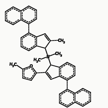 CC1=Cc2c(-c3cccc4ccccc34)cccc2C1[Si](C)(C)C1C(c2ccc(C)o2)=Cc2c(-c3cccc4ccccc34)cccc21